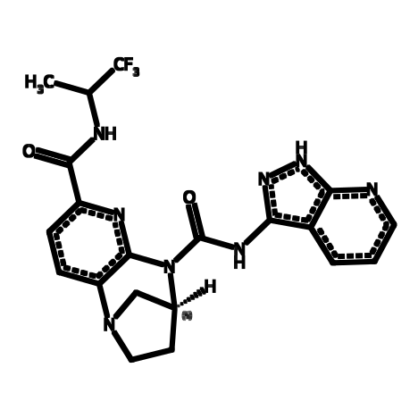 CC(NC(=O)c1ccc2c(n1)N(C(=O)Nc1n[nH]c3ncccc13)[C@H]1CCN2C1)C(F)(F)F